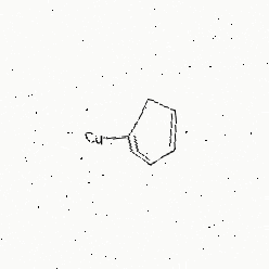 [Cu][C]1=CC=CC1